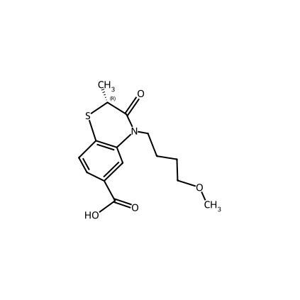 COCCCCN1C(=O)[C@@H](C)Sc2ccc(C(=O)O)cc21